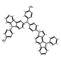 CC(C)(C)c1ccc(N(c2ccc(-n3ccc4c3ccc3c5ccccc5n(-c5ccccc5)c34)cc2)c2ccc3c(c2)c2ccccc2n3-c2ccc(C(C)(C)C)cc2)cc1